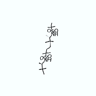 C[C@H](NS(=O)(=O)C(C)(C)C)C(C)(C)CCC(C)(C)S(=O)(=O)N[C@H](C)C(C)(C)C